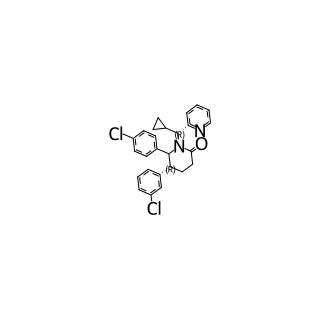 O=C1CC[C@H](c2cccc(Cl)c2)C(c2ccc(Cl)cc2)N1[C@@H](c1ccccn1)C1CC1